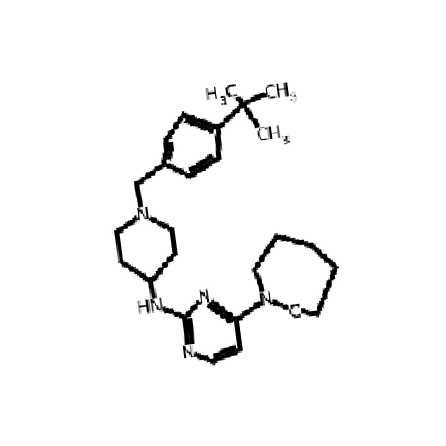 CC(C)(C)c1ccc(CN2CCC(Nc3nccc(N4CCCCCC4)n3)CC2)cc1